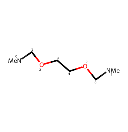 CNCOCCOCNC